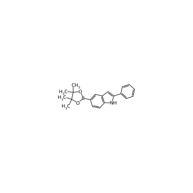 CC1(C)OB(c2ccc3[nH]c(-c4ccccc4)cc3c2)OC1(C)C